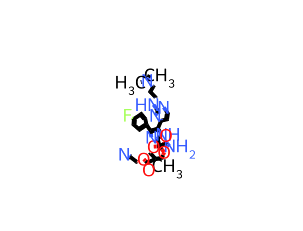 CN(C)CCCNc1nccc(-c2[nH]c(C3(C(N)=O)OCC(C)(C(=O)OCC#N)CO3)nc2-c2ccc(F)cc2)n1